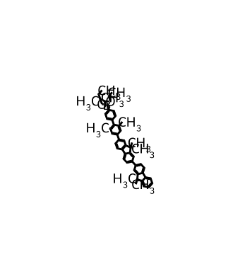 CCOB(OC(C)(C)CC)c1ccc(-c2c(C)cc(-c3ccc4c(c3)C(C)(C)c3cc(-c5ccc6c(c5)C(C)(C)c5ccccc5-6)ccc3-4)cc2C)cc1